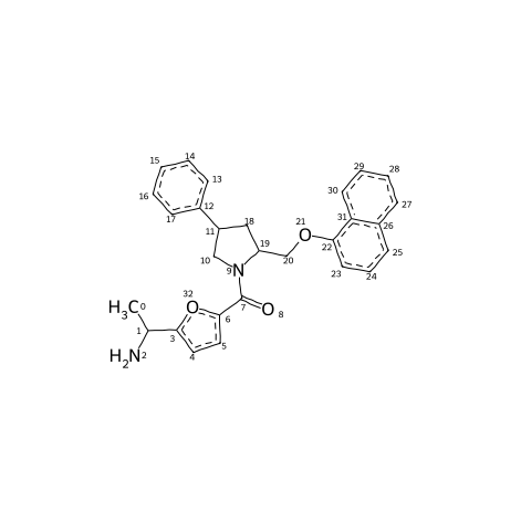 CC(N)c1ccc(C(=O)N2CC(c3ccccc3)CC2COc2cccc3ccccc23)o1